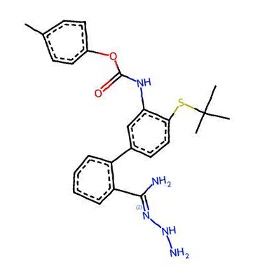 Cc1ccc(OC(=O)Nc2cc(-c3ccccc3/C(N)=N/NN)ccc2SC(C)(C)C)cc1